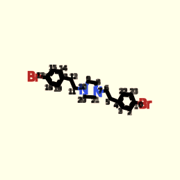 Brc1ccc(CCN2CCN(CCc3ccc(Br)cc3)CC2)cc1